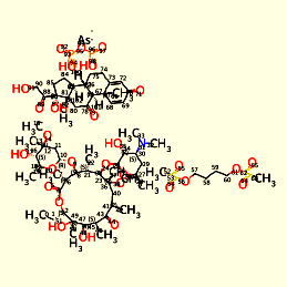 CC[C@@H]1OC(=O)[C@H](C)[C@@H](O[C@H]2C[C@@](C)(OC)[C@@H](O)[C@H](C)O2)[C@H](C)[C@@H](O[C@@H]2O[C@H](C)C[C@H](N(C)C)[C@H]2O)[C@](C)(OC)C[C@@H](C)C(=O)[C@@H](C)[C@@H](O)[C@]1(C)O.CS(=O)(=O)OCCCCOS(C)(=O)=O.C[C@]12C=CC(=O)C=C1CC[C@@H]1[C@@H]2C(=O)C[C@@]2(C)[C@H]1CC[C@]2(O)C(=O)CO.O=[PH](O)O[PH](=O)O.[As]